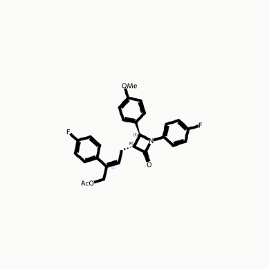 COc1ccc([C@@H]2[C@@H](C/C=C(/COC(C)=O)c3ccc(F)cc3)C(=O)N2c2ccc(F)cc2)cc1